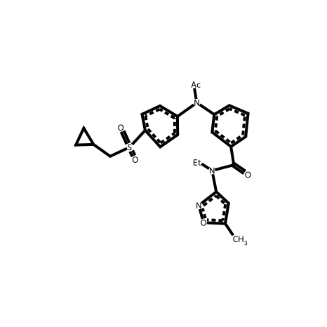 CCN(C(=O)c1cccc(N(C(C)=O)c2ccc(S(=O)(=O)CC3CC3)cc2)c1)c1cc(C)on1